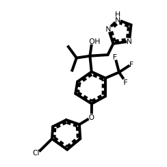 CC(C)C(O)(Cc1nc[nH]n1)c1ccc(Oc2ccc(Cl)cc2)cc1C(F)(F)F